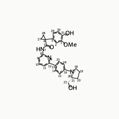 COc1cc(C2(C(=O)Nc3cccc(-c4ccc(N5CCC[C@@H]5CO)cc4)n3)CC2)ccc1O